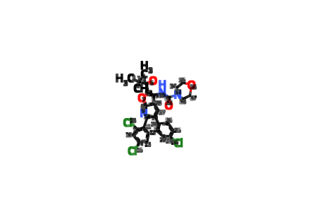 CC(C)(C)C(=O)c1oc2nc(-c3ccc(Cl)cc3Cl)c(-c3ccc(Cl)cc3)cc2c1NC(=O)N1CCOCC1